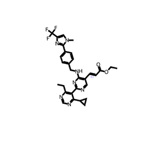 CCOC(=O)/C=C/c1cnc(-c2c(CC)ncnc2C2CC2)nc1NCc1ccc(-c2nc(C(F)(F)F)cn2C)cc1